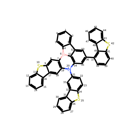 c1ccc2c(c1)B1c3cc4sc5ccccc5c4cc3N(c3ccc4sc5ccccc5c4c3)c3cc(-c4cccc5sc6ccccc6c45)cc-2c31